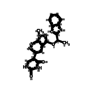 CC(Oc1nn(C)c2nnc(-c3c[nH]c(=O)[nH]c3=O)cc12)c1nc2ccccc2o1